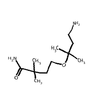 CC(C)(CCN)OCCC(C)(C)C(N)=O